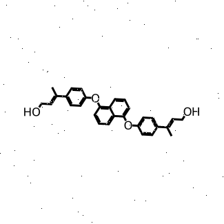 CC(=CCO)c1ccc(Oc2cccc3c(Oc4ccc(C(C)=CCO)cc4)cccc23)cc1